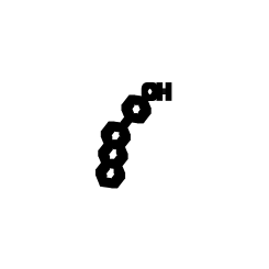 Oc1ccc(-c2ccc3cc4ccccc4cc3c2)cc1